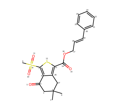 CC1(C)CC(=O)c2c(S(C)(=O)=O)sc(C(=O)OCC=Cc3ccccc3)c2C1